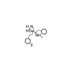 NC[C@](O)(CCc1cccc(F)c1)[C@@H](N)Cc1ccccc1